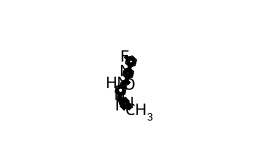 Cc1cnc(CN2CCC(NC(=O)c3ccc(-c4cccc(F)c4)nc3)CC2)cn1